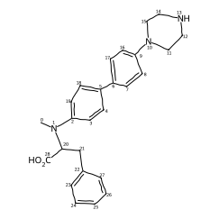 CN(c1ccc(-c2ccc(N3CCNCC3)cc2)cc1)C(Cc1ccccc1)C(=O)O